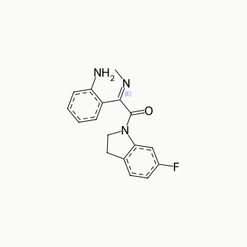 C/N=C(/C(=O)N1CCc2ccc(F)cc21)c1ccccc1N